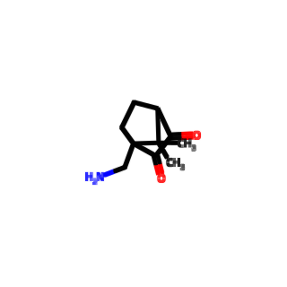 CC1(C)C2CCC1(CN)C(=O)C2=O